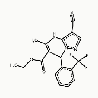 CCOC(=O)C1=C(C)Nc2c(C#N)cnn2C1c1ccccc1C(F)(F)F